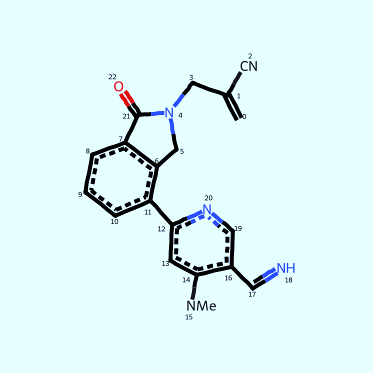 C=C(C#N)CN1Cc2c(cccc2-c2cc(NC)c(C=N)cn2)C1=O